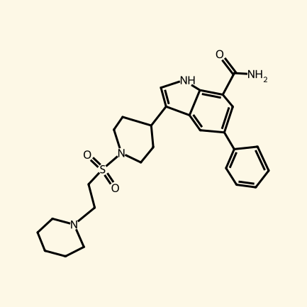 NC(=O)c1cc(-c2ccccc2)cc2c(C3CCN(S(=O)(=O)CCN4CCCCC4)CC3)c[nH]c12